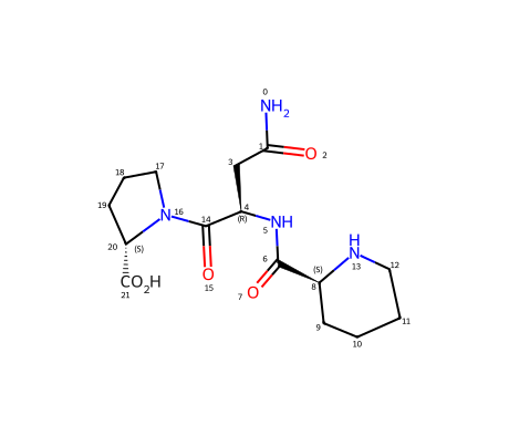 NC(=O)C[C@@H](NC(=O)[C@@H]1CCCCN1)C(=O)N1CCC[C@H]1C(=O)O